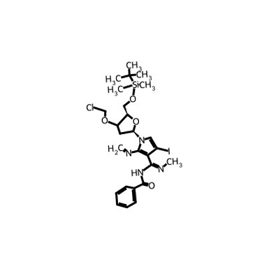 C=Nc1c(/C(=N\C)NC(=O)c2ccccc2)c(I)cn1[C@H]1CC(OCCl)[C@@H](CO[Si](C)(C)C(C)(C)C)O1